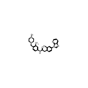 CCN1CCN(Cc2ccc(NC(=O)Cc3ccc(-n4cnc5cccnc54)cc3Cl)cc2C(F)(F)F)CC1